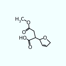 COC(=O)CC(C(=O)O)C1C=CCO1